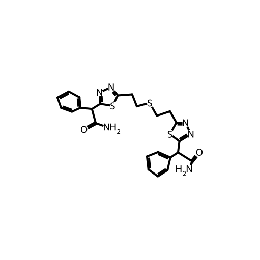 NC(=O)C(c1ccccc1)c1nnc(CCSCCc2nnc(C(C(N)=O)c3ccccc3)s2)s1